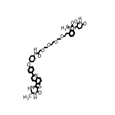 C[C@@H]1CNc2c(sc3ccc4nc(-c5ccc(OC6CCC(NC(=O)COCCOCCOCCOCCc7cccc8c7n(C)c(=O)n8C7CCC(=O)NC7=O)CC6)cc5)ccc4c23)C(=O)N1